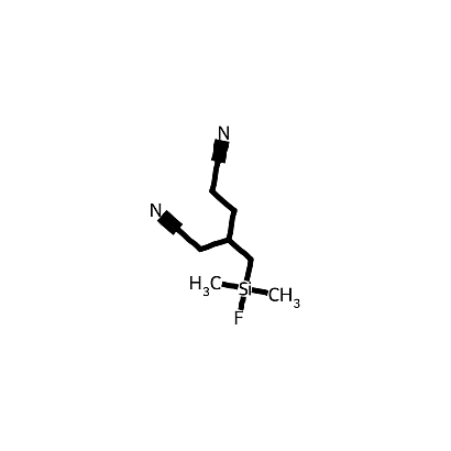 C[Si](C)(F)CC(CC#N)CCC#N